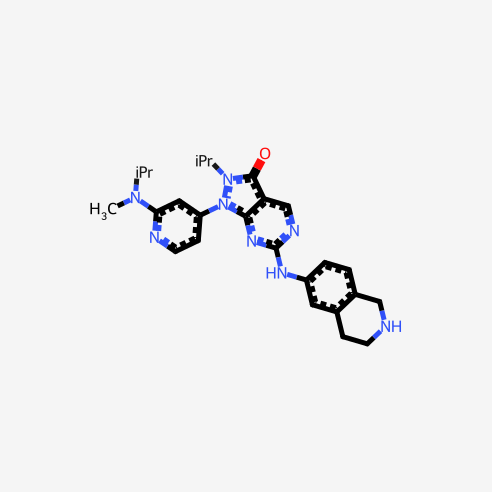 CC(C)N(C)c1cc(-n2c3nc(Nc4ccc5c(c4)CCNC5)ncc3c(=O)n2C(C)C)ccn1